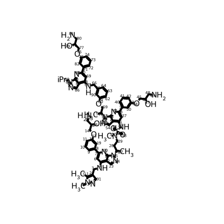 Cc1c(CNc2cc(-c3cccc(OCC(O)CN)c3)nc3c2cnn3C(C)CCN(C)S(=O)(=O)Nc2cc(-c3cccc(OCC(O)CN)c3)nc3c2cnn3C(C)COc2cccc(CNc3cc(-c4cccc(OCC(O)CN)c4)nc4c3cnn4C(C)C)c2)cnn1C